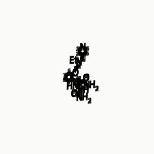 CCN(CCOc1ccccc1-c1cc(C(N)=O)c(NC(N)=O)[nH]1)Cc1ccncc1